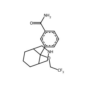 NC(=O)c1cccc(C2(OCC(F)(F)F)C3CCCC2CNC3)c1